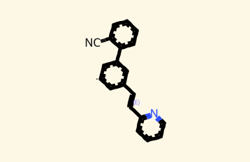 N#Cc1ccccc1-c1c[c]cc(/C=C/c2ccccn2)c1